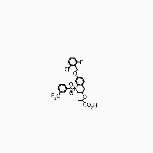 CC(OC1Cc2ccc(OCc3c(F)cccc3Cl)cc2N(S(=O)(=O)c2cccc(C(F)(F)F)c2)C1)C(=O)O